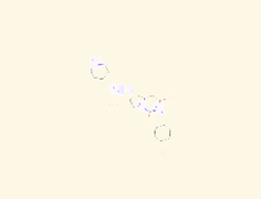 Cc1c(=O)n(Cc2ccc(Br)cc2)c(=O)n2cc(C(=O)NCc3ccncc3)sc12.Cl